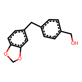 OCc1ccc(Cc2ccc3c(c2)OCO3)cc1